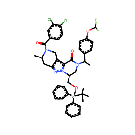 CC(c1ccc(OC(F)F)cc1)N1C[C@@H](CO[Si](c2ccccc2)(c2ccccc2)C(C)(C)C)n2nc3c(c2C1=O)CN(C(=O)c1ccc(Cl)c(Cl)c1)[C@H](C)C3